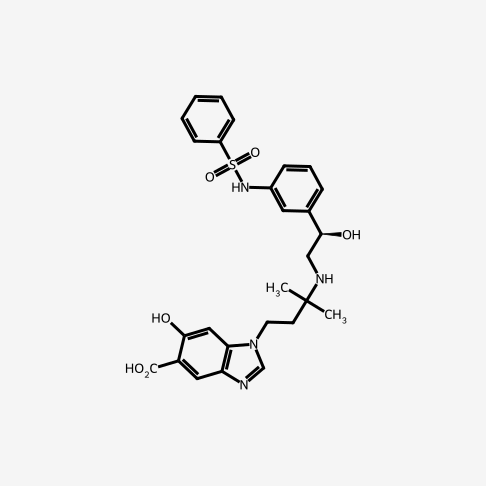 CC(C)(CCn1cnc2cc(C(=O)O)c(O)cc21)NC[C@H](O)c1cccc(NS(=O)(=O)c2ccccc2)c1